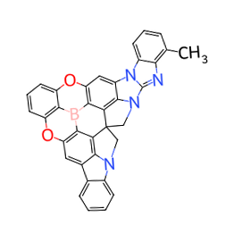 Cc1cccc2c1nc1n3c4c5c6c(cc4n21)Oc1cccc2c1B6c1c(cc4c6ccccc6n6c4c1C5(C6)C3)O2